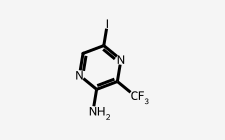 Nc1ncc(I)nc1C(F)(F)F